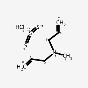 C=CCN(C)CC=C.Cl.S=S=S